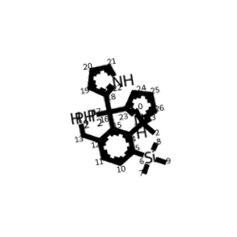 CC(C)(C)c1c([Si](C)(C)C)ccc(CP)c1C(P)(c1ccc[nH]1)c1ccc[nH]1